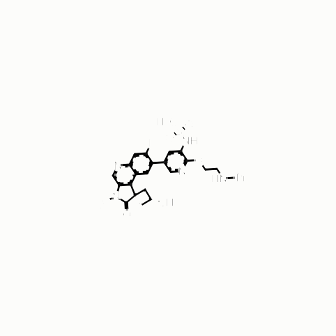 CC(C)NCCOc1ncc(-c2cc3c(cc2F)ncc2c3[C@]3(C[C@@H](C)C3)C(=O)N2C)cc1NS(C)(=O)=O